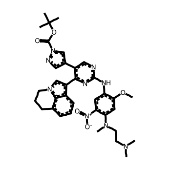 COc1cc(N(C)CCN(C)C)c([N+](=O)[O-])cc1Nc1ncc(-c2cnn(C(=O)OC(C)(C)C)c2)c(-c2cn3c4c(cccc24)CCC3)n1